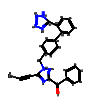 CCC#Cc1nc(C(=O)c2ccccc2)nn1Cc1ccc(-c2ccccc2-c2nnn[nH]2)cc1